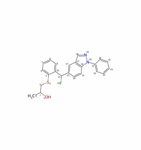 CC(O)CSc1ccccc1C(F)c1ccc2c(cnn2-c2ccccc2)c1